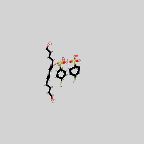 O=S(=O)(O)c1ccc(F)cc1.O=S(=O)(O)c1ccc(F)cc1.OCCCCC#CC#CCCCCO